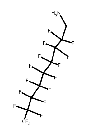 NCC(F)(F)C(F)(F)C(F)(F)C(F)(F)C(F)(F)C(F)(F)C(F)(F)C(F)(F)F